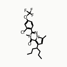 CCCC(CCC)c1cc(C)n2nc(-c3ccc(OC(F)(F)F)cc3Cl)n(C)c(=O)c12